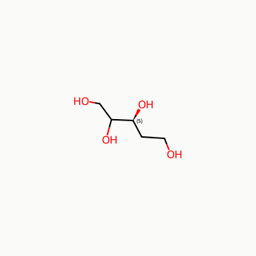 OCC[C@H](O)C(O)CO